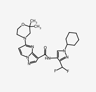 CC1(C)CN(c2ccn3ncc(C(=O)Nc4cn(C5CCCCC5)nc4C(F)F)c3n2)CCO1